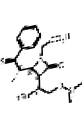 C[C@H](C(=S)c1ccccc1)[C@@H]1[C@H]([C@@H](CO[SiH](C)C)C(C)(C)C)C(=O)N1CC(=O)O